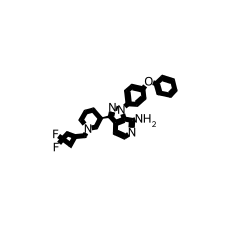 Nc1nccc2c([C@@H]3CCCN(CC4CC(F)(F)C4)C3)nn(-c3ccc(Oc4ccccc4)cc3)c12